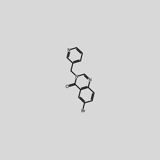 O=c1c2cc(Br)ccc2ncn1Cc1cccnc1